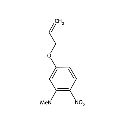 C=CCOc1ccc([N+](=O)[O-])c(NC)c1